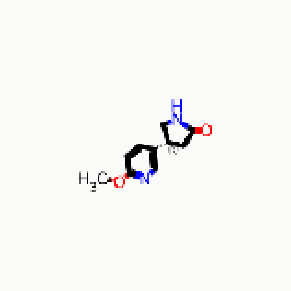 COc1ccc([C@@H]2CNC(=O)C2)cn1